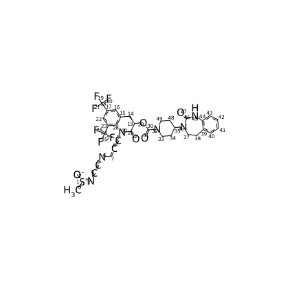 C[S+]([O-])N=C=C=NC=C=C=NC(=O)[C@@H](Cc1cc(C(F)(F)F)cc(C(F)(F)F)c1)OC(=O)N1CCC(N2CCc3ccccc3NC2=O)CC1